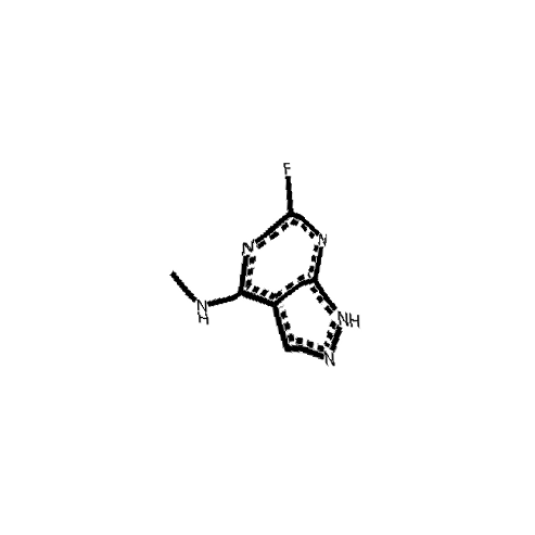 CNc1nc(F)nc2[nH]ncc12